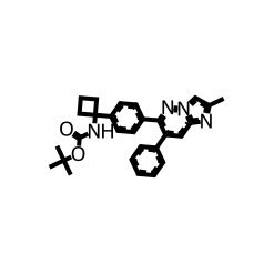 Cc1cn2nc(-c3ccc(C4(NC(=O)OC(C)(C)C)CCC4)cc3)c(-c3ccccc3)cc2n1